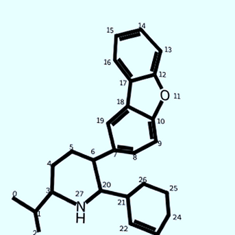 CC(C)C1CCC(c2ccc3oc4ccccc4c3c2)C(C2C=CCCC2)N1